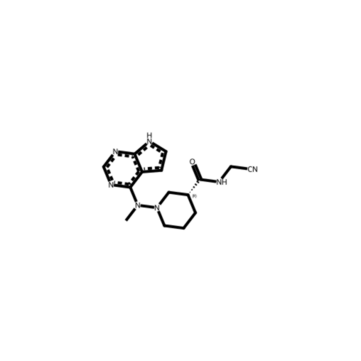 CN(c1ncnc2[nH]ccc12)N1CCC[C@@H](C(=O)NCC#N)C1